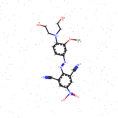 COc1cc(N=Nc2c(C#N)cc([N+](=O)[O-])cc2C#N)ccc1N(CCO)CCO